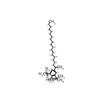 CCCCCCCCCCCCCCCCCCC(C)c1cc(C(C)(C)C)c(O)c(C(C)(C)C)c1